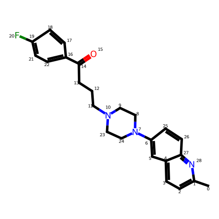 Cc1ccc2cc(N3CCN(CCCC(=O)c4ccc(F)cc4)CC3)ccc2n1